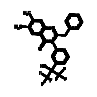 Cc1cc2nc(Cc3ccccc3)n(-c3cccc(C(O)(C(F)(F)F)C(F)(F)F)c3)c(=O)c2cc1C